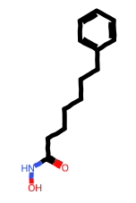 O=C(CCCCCCc1ccccc1)NO